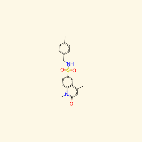 Cc1ccc(CNS(=O)(=O)c2ccc3c(c2)c(C)cc(=O)n3C)cc1